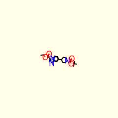 CCOC(=O)c1cnc2cc(C3CCN(C(=O)OC(C)(C)C)CC3)ccn12